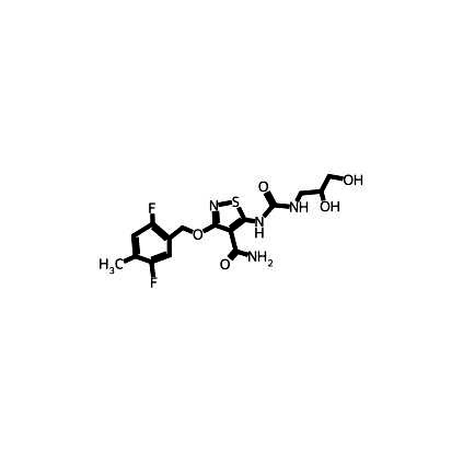 Cc1cc(F)c(COc2nsc(NC(=O)NCC(O)CO)c2C(N)=O)cc1F